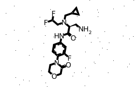 NC[C@@H](C(=O)Nc1ccc(N2CCOCC2=O)c(F)c1)N(CC(F)F)CC1CC1